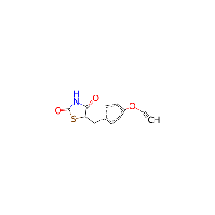 C#COc1ccc(CC2SC(=O)NC2=O)cc1